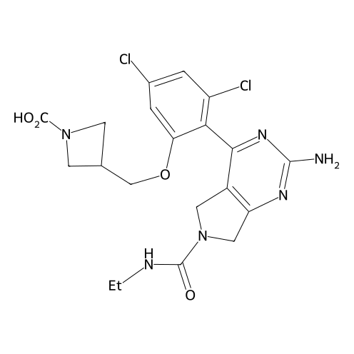 CCNC(=O)N1Cc2nc(N)nc(-c3c(Cl)cc(Cl)cc3OCC3CN(C(=O)O)C3)c2C1